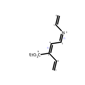 C=C/N=C\C=C(/C=C)C(=O)OCC